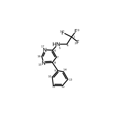 FC(F)(F)CNc1cc(-c2ccccc2)ncn1